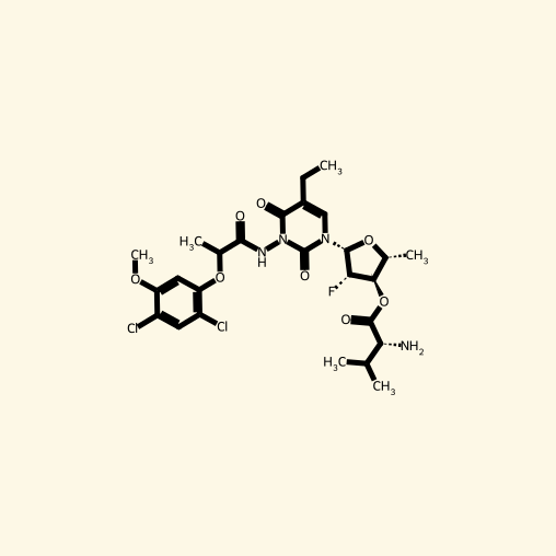 CCc1cn([C@@H]2O[C@H](C)[C@@H](OC(=O)[C@H](N)C(C)C)[C@@H]2F)c(=O)n(NC(=O)C(C)Oc2cc(OC)c(Cl)cc2Cl)c1=O